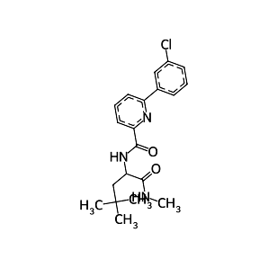 CNC(=O)C(CC(C)(C)C)NC(=O)c1cccc(-c2cccc(Cl)c2)n1